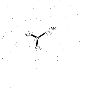 CN(C)C.[Mo]